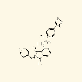 O=C1c2cccc(NS(=O)(=O)c3ccc(-c4cnco4)cc3)c2C(=O)N1Cc1ccncc1